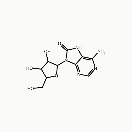 Nc1ncnc2c1[nH]c(=O)n2C1OC(CO)C(O)C1O